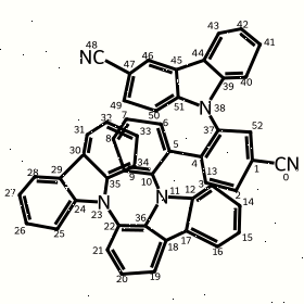 N#Cc1ccc(-c2ccccc2-n2c3ccccc3c3cccc(-n4c5ccccc5c5ccccc54)c32)c(-n2c3ccccc3c3cc(C#N)ccc32)c1